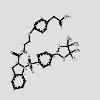 COC(=O)Cc1ccc(OCCNC(=O)[C@@H]2Cc3ccccc3N2S(=O)(=O)c2ccc(B3OC(C)(C)C(C)(C)O3)cc2)cc1